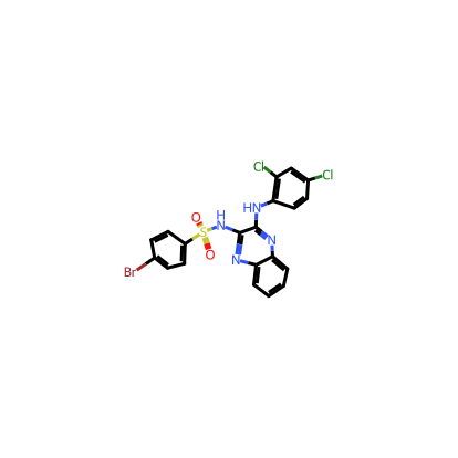 O=S(=O)(Nc1nc2ccccc2nc1Nc1ccc(Cl)cc1Cl)c1ccc(Br)cc1